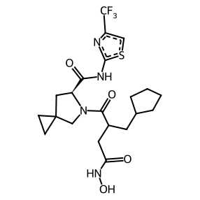 O=C(CC(CC1CCCC1)C(=O)N1CC2(CC2)C[C@H]1C(=O)Nc1nc(C(F)(F)F)cs1)NO